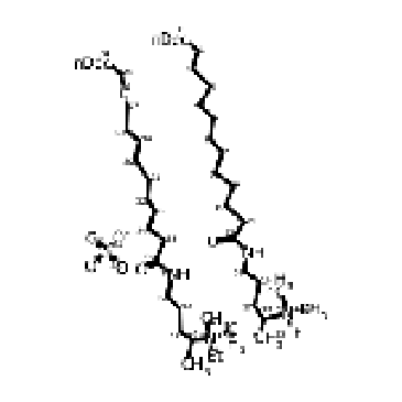 CCCCCCCCCCCCCCCCCCCCCC(=O)NCCCC(C)[N+](C)(C)CC.CCCCCCCCCCCCCCCCCCCCCC(=O)NCCCC(C)[N+](C)(C)CC.O=S(=O)([O-])[O-]